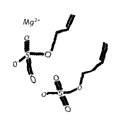 C=CCOS(=O)(=O)[O-].C=CCOS(=O)(=O)[O-].[Mg+2]